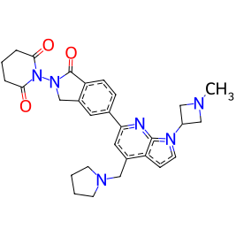 CN1CC(n2ccc3c(CN4CCCC4)cc(-c4ccc5c(c4)CN(N4C(=O)CCCC4=O)C5=O)nc32)C1